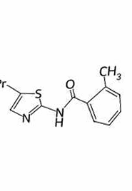 Cc1ccccc1C(=O)Nc1ncc(C(C)C)s1